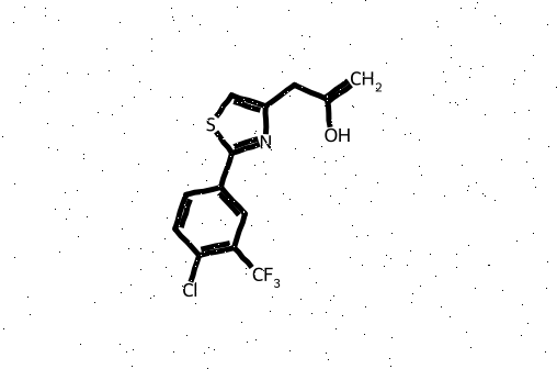 C=C(O)Cc1csc(-c2ccc(Cl)c(C(F)(F)F)c2)n1